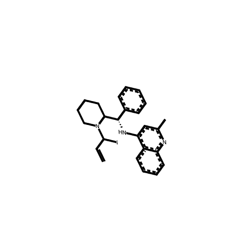 C=CC(I)N1CCCCC1[C@@H](Nc1cc(C)nc2ccccc12)c1ccccc1